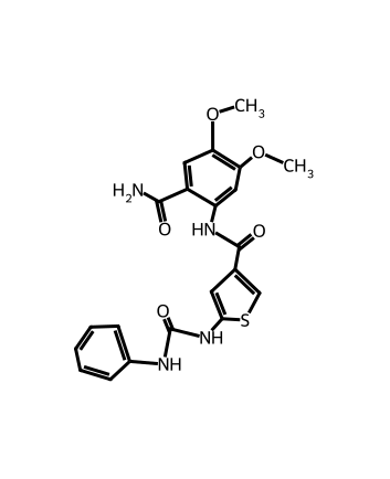 COc1cc(NC(=O)c2csc(NC(=O)Nc3ccccc3)c2)c(C(N)=O)cc1OC